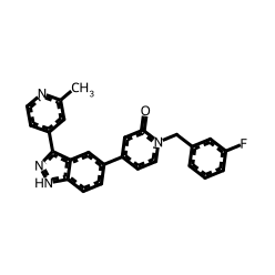 Cc1cc(-c2n[nH]c3ccc(-c4ccn(Cc5cccc(F)c5)c(=O)c4)cc23)ccn1